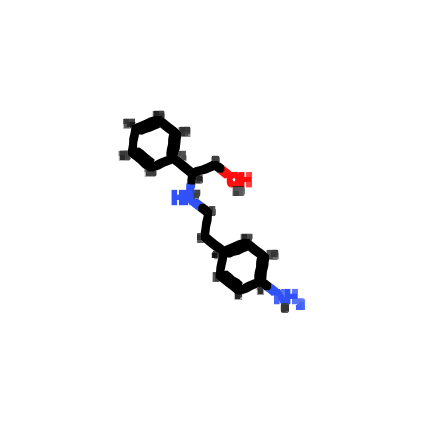 Nc1ccc(CCNC(CO)c2ccccc2)cc1